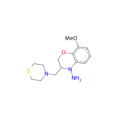 COc1cccc2c1OCC(CN1CCSCC1)N2N